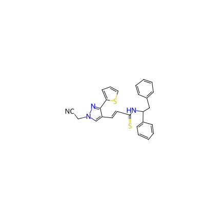 N#CCn1cc(/C=C/C(=S)NC(Cc2ccccc2)c2ccccc2)c(-c2cccs2)n1